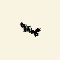 CCN1C(=O)/C(=C\c2ccc3c(c2)c2ccccc2n3-c2ccccc2)O/C1=N\c1ccccc1C(=O)c1ccccc1